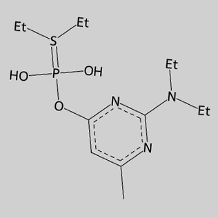 CCN(CC)c1nc(C)cc(OP(O)(O)=S(CC)CC)n1